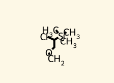 [CH2]OCC(Cl)[Si](C)(C)C